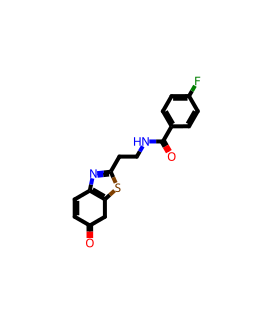 O=C1C=Cc2nc(CCNC(=O)c3ccc(F)cc3)sc2C1